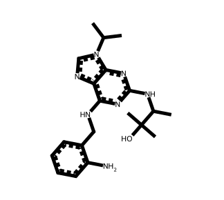 CC(C)n1cnc2c(NCc3ccccc3N)nc(NC(C)C(C)(C)O)nc21